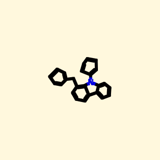 c1ccc(Cc2cccc3c4ccccc4n(-c4ccccc4)c23)cc1